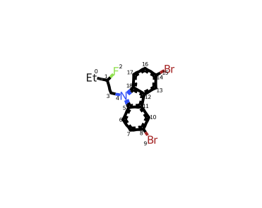 CCC(F)Cn1c2ccc(Br)cc2c2cc(Br)ccc21